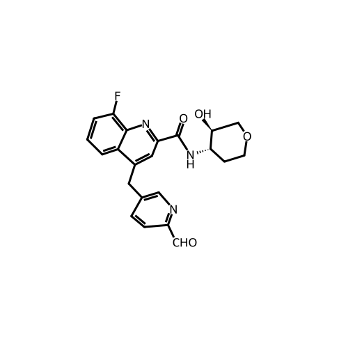 O=Cc1ccc(Cc2cc(C(=O)N[C@H]3CCOC[C@@H]3O)nc3c(F)cccc23)cn1